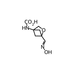 O=C(O)NC12COC(C=NO)(C1)C2